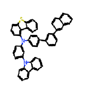 c1cc(-c2ccc(N(c3cccc(-n4c5ccccc5c5ccccc54)c3)c3cccc4sc5ccccc5c34)cc2)cc(-c2ccc3ccccc3c2)c1